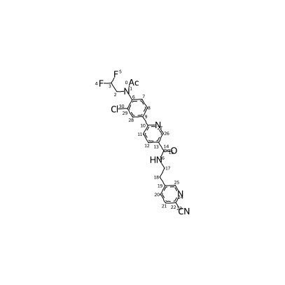 CC(=O)N(CC(F)F)c1ccc(-c2ccc(C(=O)NCCc3ccc(C#N)nc3)cn2)cc1Cl